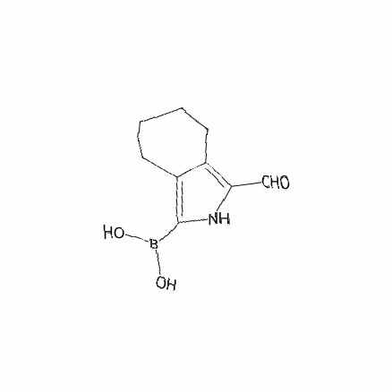 O=Cc1[nH]c(B(O)O)c2c1CCCC2